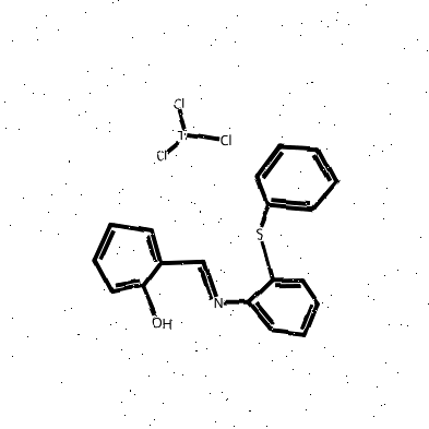 Oc1ccccc1C=Nc1ccccc1Sc1ccccc1.[Cl][Ti]([Cl])[Cl]